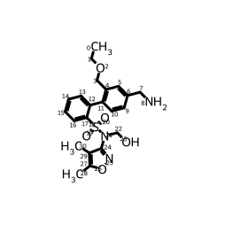 CCOCc1cc(CN)ccc1-c1ccccc1S(=O)(=O)N(CO)c1noc(C)c1C